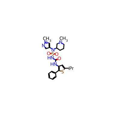 CC(C)c1cc(NC(=O)NS(=O)(=O)N(c2cnn(C)c2)C2CCCN(C)C2)c(-c2ccccc2)s1